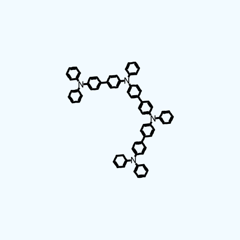 C1=CCCC(N(c2ccccc2)c2ccc(-c3ccc(N(c4ccccc4)c4ccc(-c5ccc(N(c6ccccc6)c6ccc(-c7ccc(N(c8ccccc8)c8ccccc8)cc7)cc6)cc5)cc4)cc3)cc2)=C1